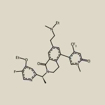 CCOc1cc([C@H](C)N2CCc3c(cc(CCN(C)CC)cc3-c3cn(C)c(=O)cc3C(F)(F)F)C2=O)ncc1F